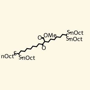 CCCCCCCCSC(CCCCCCCC(=O)C(CCCCCCC(SCCCCCCCC)SCCCCCCCC)C(=O)OC)SCCCCCCCC